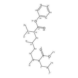 COC(=O)C(CC(C)C)C(C)CCC(C)CC(C(=O)Oc1ccccc1)C(C)C